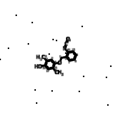 Cc1cc(OCc2ccccc2N=C=O)c(C)cc1O